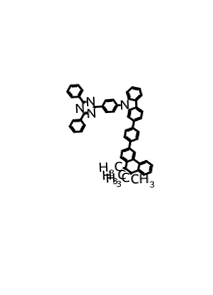 CC1(C)c2ccccc2-c2cc(-c3ccc(-c4ccc5c6ccccc6n(-c6ccc(-c7nc(-c8ccccc8)nc(-c8ccccc8)n7)cc6)c5c4)cc3)ccc2C1(C)C